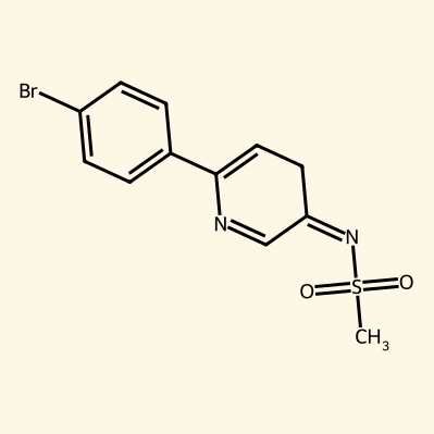 CS(=O)(=O)N=C1C=NC(c2ccc(Br)cc2)=CC1